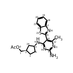 CC(=O)OC[C@@H]1CC[C@H](Nc2nc(N)nc(C)c2-c2nc3ccccc3s2)C1